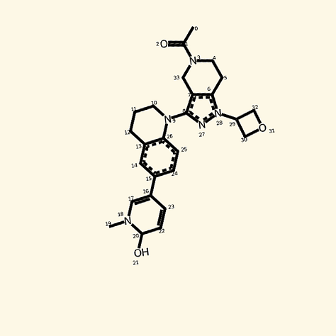 CC(=O)N1CCc2c(c(N3CCCc4cc(C5=CN(C)C(O)C=C5)ccc43)nn2C2COC2)C1